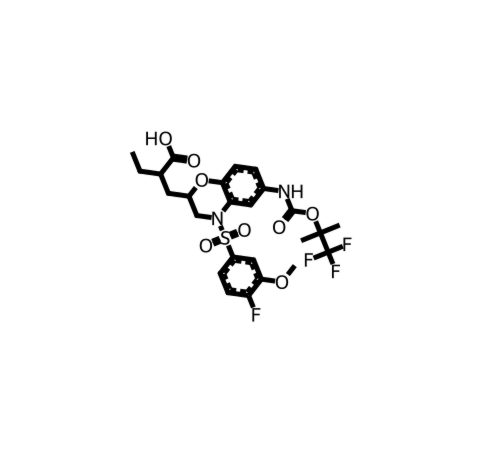 CCC(CC1CN(S(=O)(=O)c2ccc(F)c(OC)c2)c2cc(NC(=O)OC(C)(C)C(F)(F)F)ccc2O1)C(=O)O